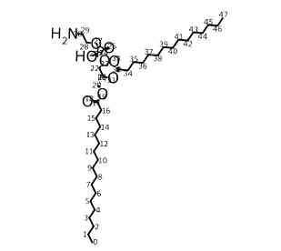 CCCCCCCCCCCCCCCCCC(=O)OC[C@H](COP(=O)(O)OCCN)OC(=O)CCCCCCCCCCCCCC